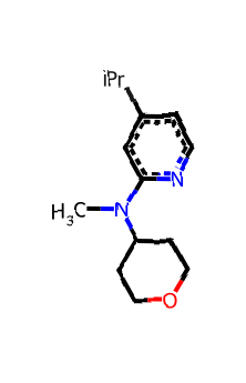 CC(C)c1ccnc(N(C)C2CCOCC2)c1